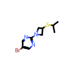 CC(C)SC1CN(c2ncc(Br)cn2)C1